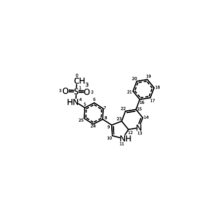 CS(=O)(=O)Nc1ccc(C2=CNC3N=CC(c4ccccc4)=CC23)cc1